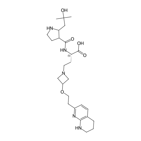 CC(C)(O)CC1NCCC1C(=O)N[C@@H](CCN1CC(OCCc2ccc3c(n2)NCCC3)C1)C(=O)O